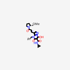 COC[C@H]1CCCN1C(=O)/C=C/c1cnn2c(O)c(C(=O)NC3CC3)c(=O)n(CC(C)C)c12